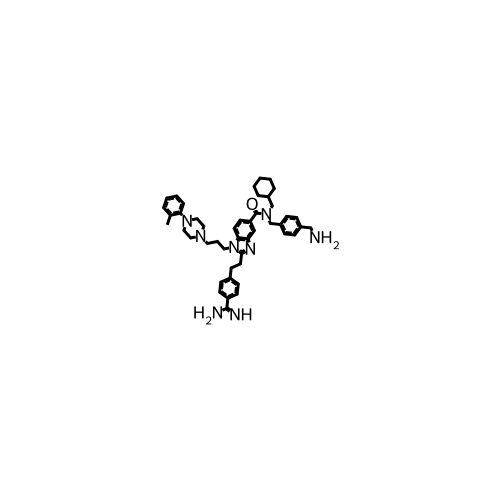 Cc1ccccc1N1CCN(CCCn2c(CCc3ccc(C(=N)N)cc3)nc3cc(C(=O)N(Cc4ccc(CN)cc4)CC4CCCCC4)ccc32)CC1